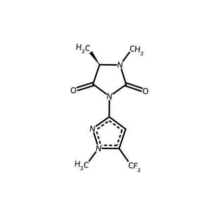 C[C@@H]1C(=O)N(c2cc(C(F)(F)F)n(C)n2)C(=O)N1C